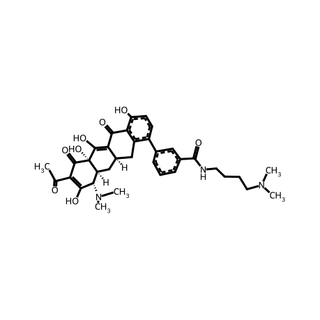 CC(=O)C1=C(O)[C@@H](N(C)C)[C@@H]2C[C@@H]3Cc4c(-c5cccc(C(=O)NCCCCN(C)C)c5)ccc(O)c4C(=O)C3=C(O)[C@]2(O)C1=O